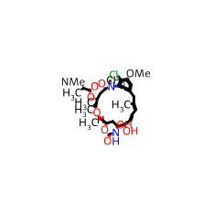 CN[C@@H](C)C(=O)O[C@H]1CC(=O)N(C)c2cc(cc(OC)c2Cl)C/C(C)=C/C=C/[C@@H](O)[C@@]2(O)C[C@H](OC(=O)N2)[C@@H](C)OC1(C)C